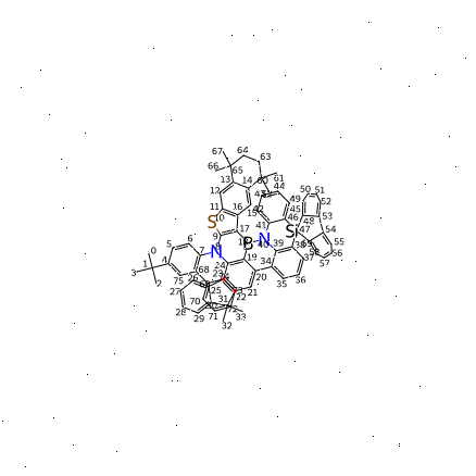 CC(C)(C)c1ccc(N2c3sc4cc5c(cc4c3B3c4c(cc6c(c42)-c2ccccc2C6(C)C)-c2cccc4c2N3c2ccccc2[Si]42c3ccccc3-c3ccccc32)C(C)(C)CCC5(C)C)c(-c2ccccc2)c1